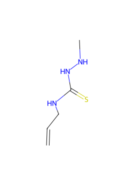 C=CCNC(=S)NNC